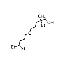 CCC(CC)CCCOCCCC(C)(CC)CO